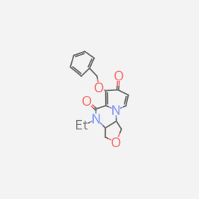 CCN1C(=O)c2c(OCc3ccccc3)c(=O)ccn2C2COCC21